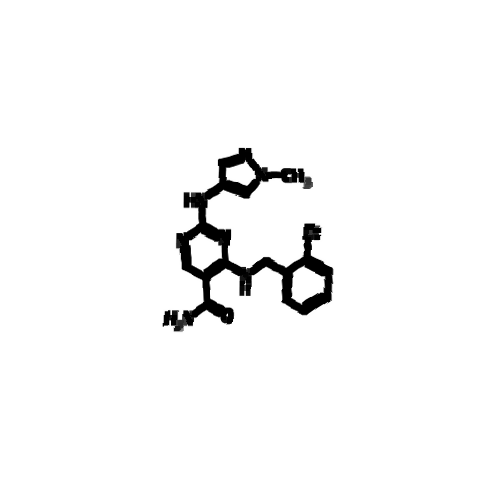 CCc1ccccc1CNc1nc(Nc2cnn(C)c2)ncc1C(N)=O